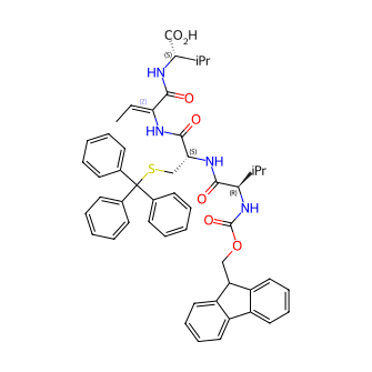 C/C=C(\NC(=O)[C@@H](CSC(c1ccccc1)(c1ccccc1)c1ccccc1)NC(=O)[C@H](NC(=O)OCC1c2ccccc2-c2ccccc21)C(C)C)C(=O)N[C@H](C(=O)O)C(C)C